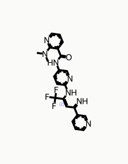 CN(C)c1ncccc1C(=O)Nc1ccc(N/C(=C\C(=N)c2cccnc2)C(F)(F)F)nc1